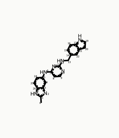 Cc1nc2cc(Nc3ccnc(NCc4ccc5[nH]ccc5c4)n3)ccc2[nH]1